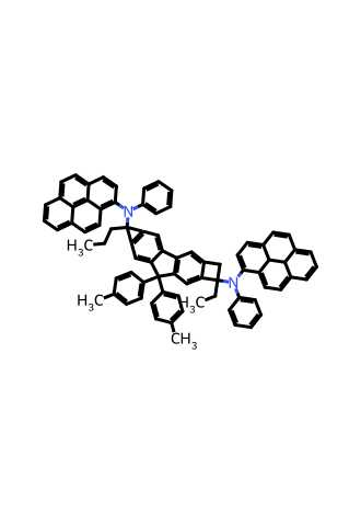 CCCC1(N(c2ccccc2)c2ccc3ccc4cccc5ccc2c3c45)c2cc3c(cc21)C(c1ccc(C)cc1)(c1ccc(C)cc1)c1cc2c(cc1-3)CC2(CC)N(C1=CC=C2C=CC3=CC=CC4=CC=C1C2C34)c1ccccc1